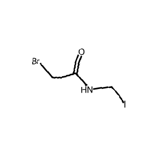 O=C(CBr)NCI